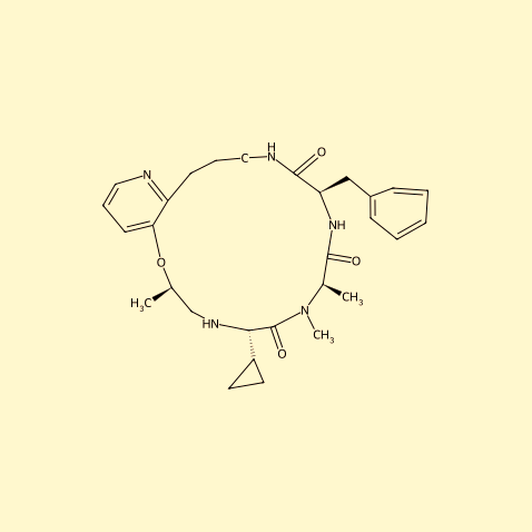 C[C@@H]1CN[C@@H](C2CC2)C(=O)N(C)[C@H](C)C(=O)N[C@H](Cc2ccccc2)C(=O)NCCCc2ncccc2O1